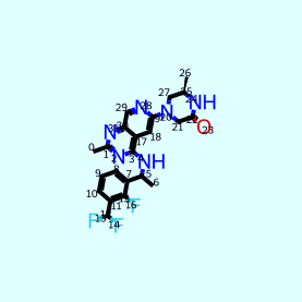 Cc1nc(NC(C)c2cccc(C(F)F)c2F)c2cc(N3CC(=O)N[C@H](C)C3)ncc2n1